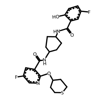 O=C(NC1CCC(NC(=O)c2cc(F)cnc2OC2CCSCC2)CC1)c1cc(F)ccc1O